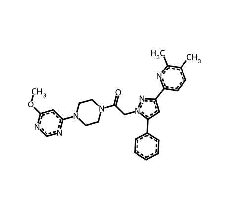 COc1cc(N2CCN(C(=O)Cn3nc(-c4ccc(C)c(C)n4)cc3-c3ccccc3)CC2)ncn1